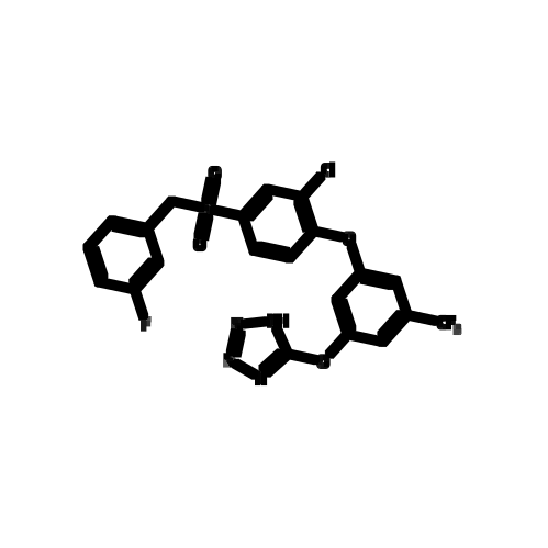 O=S(=O)(Cc1cccc(F)c1)c1ccc(Oc2cc(Oc3nnn[nH]3)cc(C(F)(F)F)c2)c(Cl)c1